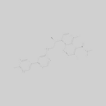 CNC(=O)c1c(F)cnc2c([C@H](C)CNc3cc(-c4cnc(C)nc4)ncn3)ccc(F)c12